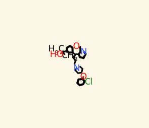 CC(C)(O)c1ccc2c(c1)/C(=C/CCN1CCC(Oc3ccccc3Cl)CC1)c1cccnc1CO2